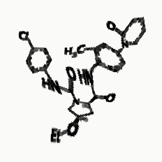 CCO[C@@H]1C[C@H](C(=O)Nc2ccc(-n3ccccc3=O)cc2C)N(C(=O)Nc2ccc(Cl)cc2)C1